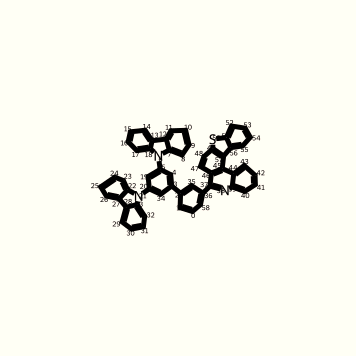 c1cc(-c2cc(-n3c4ccccc4c4ccccc43)cc(-n3c4ccccc4c4ccccc43)c2)cc(-c2nc3ccccc3c3c2ccc2sc4ccccc4c23)c1